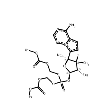 CC(C)OC(=O)OCOP(=O)(OCOC(=O)OC(C)C)O[C@H]1O[C@@](C#N)(c2ccc3c(N)ncnn23)[C@](C)(F)[C@@H]1O